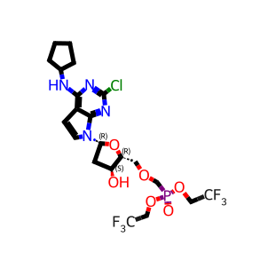 O=P(COC[C@H]1O[C@@H](n2ccc3c(NC4CCCC4)nc(Cl)nc32)C[C@@H]1O)(OCC(F)(F)F)OCC(F)(F)F